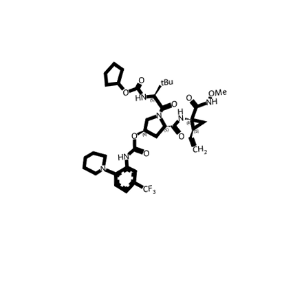 C=C[C@@H]1C[C@]1(NC(=O)[C@@H]1C[C@@H](OC(=O)Nc2cc(C(F)(F)F)ccc2N2CCCCC2)CN1C(=O)[C@@H](NC(=O)OC1CCCC1)C(C)(C)C)C(=O)NOC